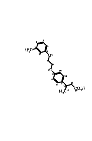 Cc1cccc(OCCOc2ccc(C(C)CC(=O)O)cc2)c1